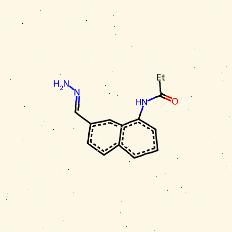 CCC(=O)Nc1cccc2ccc(C=NN)cc12